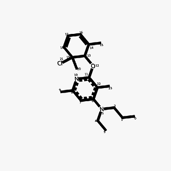 CCCN(CC)c1cc(C)nc(OC2C(C)=CC=CC2(C)Cl)c1C